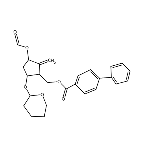 C=C1C(OC=O)CC(OC2CCCCO2)C1COC(=O)c1ccc(-c2ccccc2)cc1